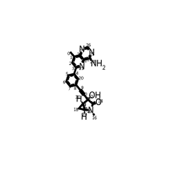 Cc1cc(-c2cccc(C#C[C@@]3(O)C(=O)N(C)[C@@H]4C[C@@H]43)c2)nc2c(N)ncnc12